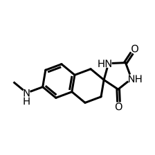 CNc1ccc2c(c1)CCC1(C2)NC(=O)NC1=O